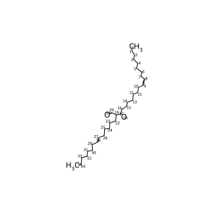 CCCCCCCC/C=C\CCCCCCCC(=O)C(C=O)CCCCCCCCCCCCCC